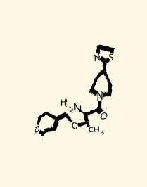 C[C@@H](OCC1CCOCC1)[C@H](N)C(=O)N1CCC(c2nccs2)CC1